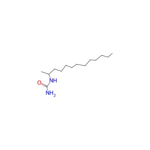 CCCCCCCCCCCC(C)NC(N)=O